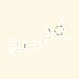 C[C@H](CO)NC(=O)CN1CCC(F)(CNC(=O)c2cc(O)cc(Cl)c2)CC1